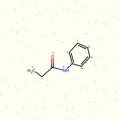 CCC(=O)Nc1cc[c]cc1